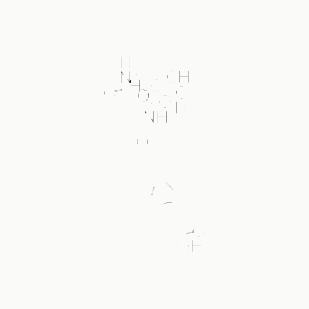 CC(C)(C)OC(=O)N[C@@H](CCC(N)=O)COCCCc1ccc(CCC(=O)O)cc1